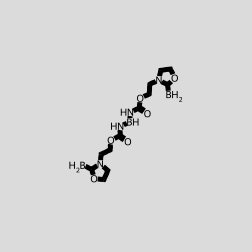 BC1OCCN1CCOC(=O)NBNC(=O)OCCN1CCOC1B